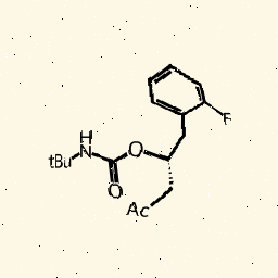 CC(=O)C[C@@H](Cc1ccccc1F)OC(=O)NC(C)(C)C